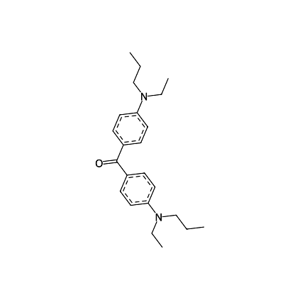 CCCN(CC)c1ccc(C(=O)c2ccc(N(CC)CCC)cc2)cc1